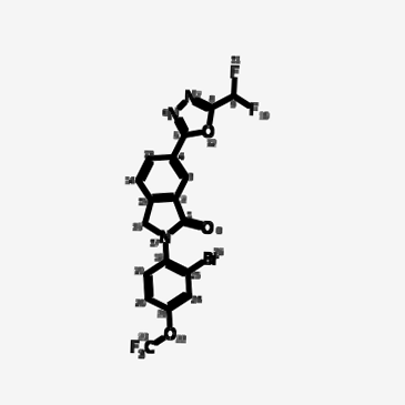 O=C1c2cc(-c3nnc(C(F)F)o3)ccc2CN1c1ccc(OC(F)(F)F)cc1Br